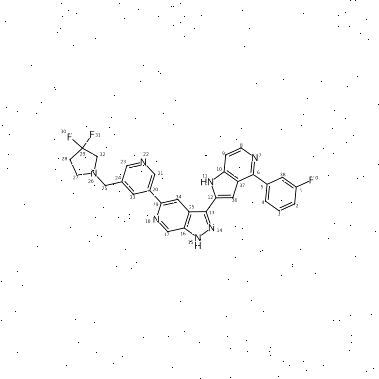 Fc1cccc(-c2nccc3[nH]c(-c4n[nH]c5cnc(-c6cncc(CN7CCC(F)(F)C7)c6)cc45)cc23)c1